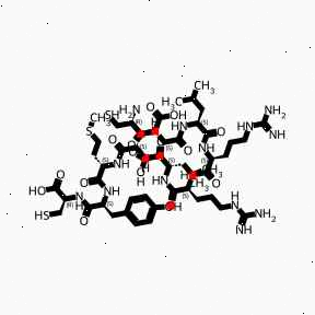 CSCC[C@H](NC(=O)[C@H](CCC(=O)O)NC(=O)[C@H](CC(C)C)NC(=O)[C@H](CCCNC(=N)N)NC(=O)[C@H](CCCNC(=N)N)NC(=O)[C@H](CC(C)C)NC(=O)[C@H](CC(=O)O)NC(=O)[C@@H](N)CS)C(=O)N[C@@H](Cc1ccc(O)cc1)C(=O)N[C@@H](CS)C(=O)O